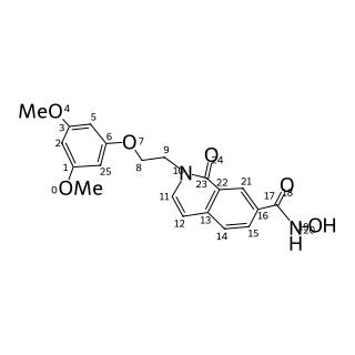 COc1cc(OC)cc(OCCn2ccc3ccc(C(=O)NO)cc3c2=O)c1